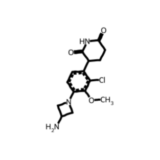 COc1c(N2CC(N)C2)ccc(C2CCC(=O)NC2=O)c1Cl